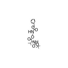 CC(C)C(NC(=O)OC(C)(C)C)C(=O)OCCNC(=O)OCc1ccccc1